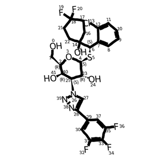 OC[C@H]1O[C@@H](S[C@@H](c2ccccc2Cl)C2(O)CCC(F)(F)CC2)[C@H](O)[C@@H](n2cc(-c3cc(F)c(F)c(F)c3)nn2)[C@H]1O